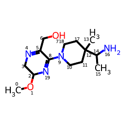 COC1CN=C(CO)C(N2CCC(C)(C(C)N)CC2)=N1